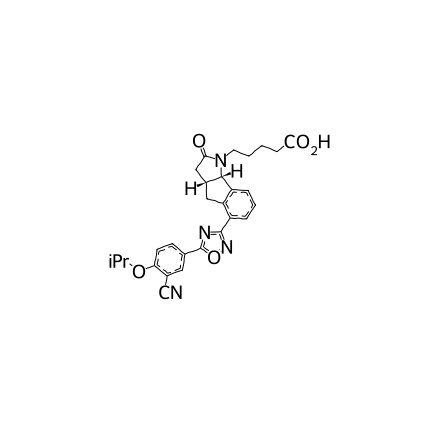 CC(C)Oc1ccc(-c2nc(-c3cccc4c3C[C@@H]3CC(=O)N(CCCCC(=O)O)[C@H]43)no2)cc1C#N